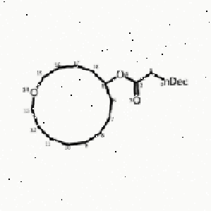 [CH2]CCCCCCCCCCC(=O)OC1CCCCCC[CH]COCCCC1